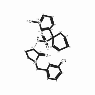 N#Cc1cccc(CN2CC[C@H](NS(=O)(=O)C3(c4ccc[n+]([O-])c4)C=CC=CC3)C2=O)c1